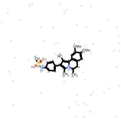 COc1cc2c(cc1OC)-c1c(C#N)c(-c3ccc(NS(C)(=O)=O)cc3)c(C)n1C(C)C2